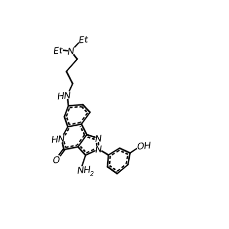 CCN(CC)CCCNc1ccc2c(c1)[nH]c(=O)c1c(N)n(-c3cccc(O)c3)nc12